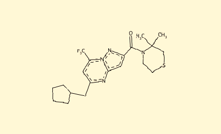 CC1(C)CSCCN1C(=O)c1cc2nc(CC3CCCC3)cc(C(F)(F)F)n2n1